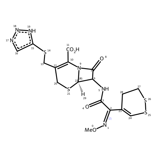 CO/N=C(\C(=O)NC1C(=O)N2C(C(=O)O)=C(CSc3cnn[nH]3)CS[C@H]12)C1=CSSCC1